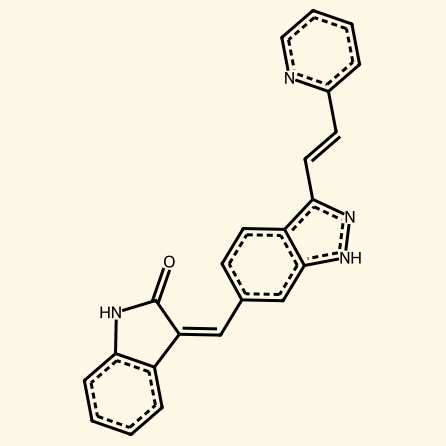 O=C1Nc2ccccc2C1=Cc1ccc2c(/C=C/c3ccccn3)n[nH]c2c1